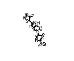 Cc1cc([S+](C)[O-])ncc1N1CCc2[nH]c(-c3snnc3C)cc2C1